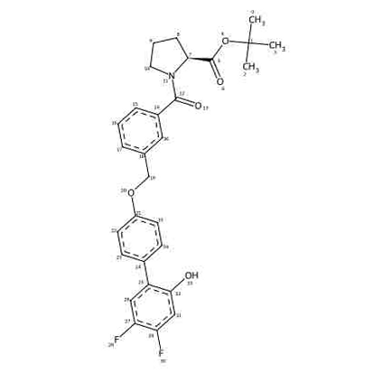 CC(C)(C)OC(=O)[C@@H]1CCCN1C(=O)c1cccc(COc2ccc(-c3cc(F)c(F)cc3O)cc2)c1